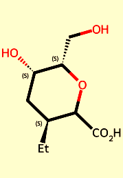 CC[C@H]1C[C@H](O)[C@H](CO)OC1C(=O)O